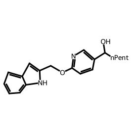 CCCCCC(O)c1ccc(OCc2cc3ccccc3[nH]2)nc1